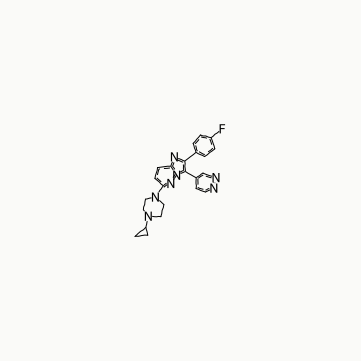 Fc1ccc(-c2nc3ccc(N4CCN(C5CC5)CC4)nn3c2-c2ccnnc2)cc1